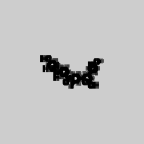 COc1ccc(C(CCC2CCN(C(=O)c3cccc(NC4=NCC(O)CN4)c3)C(I)C2)CC(=O)O)cn1